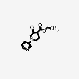 CCOC(=O)C1CCN(c2cccnc2)CC1=O